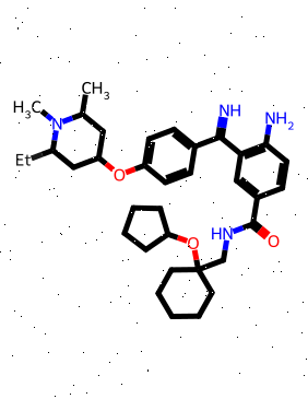 CCC1CC(Oc2ccc(C(=N)c3cc(C(=O)NCC4(OC5CCCC5)CCCCC4)ccc3N)cc2)CC(C)N1C